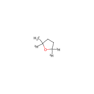 [2H]C1([2H])CCC([2H])(C)O1